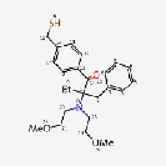 CCC(Cc1ccccc1)(C(=O)c1ccc(CS)cc1)N(CCOC)CCOC